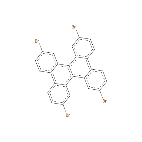 Brc1ccc2c3ccc(Br)cc3c3c4cc(Br)ccc4c4ccc(Br)cc4c3c2c1